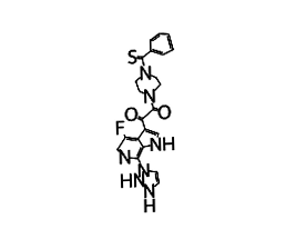 O=C(C(=O)N1CCN(C(=S)c2ccccc2)CC1)c1c[nH]c2c(N3C=CNN3)ncc(F)c12